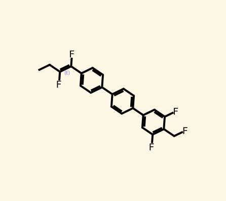 CC/C(F)=C(\F)c1ccc(-c2ccc(-c3cc(F)c(CF)c(F)c3)cc2)cc1